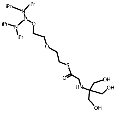 CC(C)N(C(C)C)P(OCCOCCSC(=O)CNC(CO)(CO)CO)N(C(C)C)C(C)C